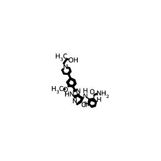 COc1cc(C2=CCN(CC(C)O)CC2)ccc1-c1nc2c(N[C@H]3[C@@H](C(N)=O)[C@@H]4C=C[C@H]3C4)c(Cl)cnc2[nH]1